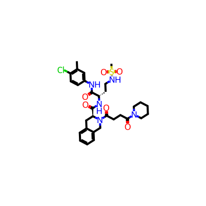 Cc1cc(NC(=O)[C@H](CCNS(C)(=O)=O)NC(=O)[C@@H]2Cc3ccccc3CN2C(=O)CCC(=O)N2CCCCC2)ccc1Cl